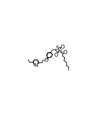 CCCCCCCC(=O)N1C(=O)SC(Cc2ccc(OCCc3ccc(CC)cn3)cc2)C1=O